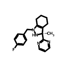 C[C@]1(c2ncccn2)NN(Cc2ccc(F)cc2)C2=C1CCCC2